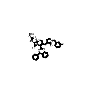 CC(C)(C)OC(=O)N[C@@H]1C(=O)N2C(C(=O)OC(c3ccccc3)c3ccccc3)=C(/C=C3\CCN(Cc4cccc(F)c4)C3=O)CS[C@H]12